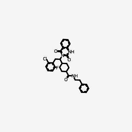 O=C(NCCc1ccccc1)C1CCC(C(Cc2c(F)cccc2Cl)n2c(=O)[nH]c3ccccc3c2=O)CC1